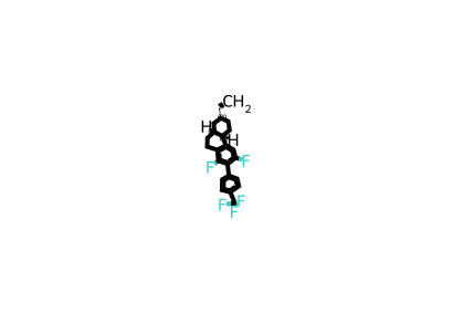 C=C[C@@H]1CC[C@@H]2c3cc(F)c(-c4ccc(C(F)(F)F)cc4)c(F)c3CC[C@@H]2C1